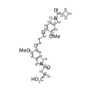 COc1cc2c(cc1OCCCOc1cc3c(cc1OC)CN(C(=O)C1CCC1)C3)CN(C(=O)C[C@H](C)C(=O)O)C2